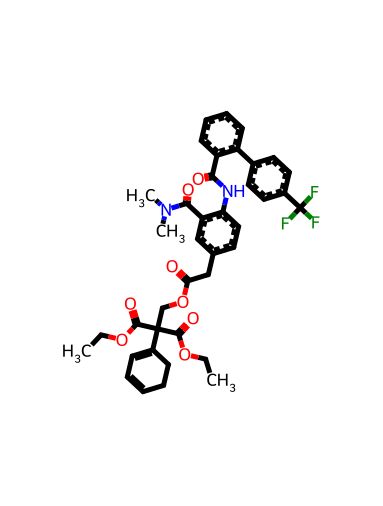 CCOC(=O)C(COC(=O)Cc1ccc(NC(=O)c2ccccc2-c2ccc(C(F)(F)F)cc2)c(C(=O)N(C)C)c1)(C(=O)OCC)C1=CC=CCC1